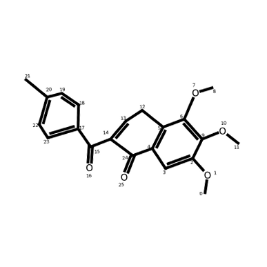 COc1cc2c(c(OC)c1OC)CC=C(C(=O)c1ccc(C)cc1)C2=O